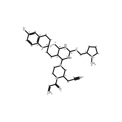 C=CC(=O)N1CCN(C2NC(OCC3CCCN3C)NC3C[C@]4(CCc5cc(F)ccc5S4)CCC32)CC1CC#N